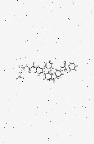 CCN(CCN(C)C)CC(=O)N(C)c1ccc(-c2cnc3[nH]c4ccc(CS(=O)(=O)c5ccccc5)cc4c3c2-c2ccccc2)cc1